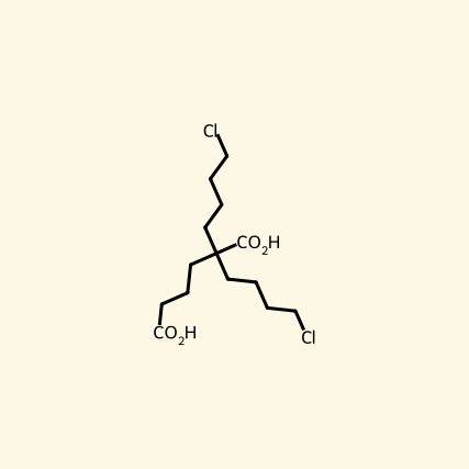 O=C(O)CCCC(CCCCCl)(CCCCCl)C(=O)O